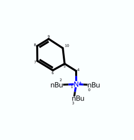 CCCC[N+](CCCC)(CCCC)CC1C=CC=CC1